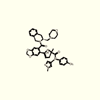 Cn1cc(N(C(=O)C2(C)CC=C(c3cc4c(cc3C(=O)N3Cc5ccccc5C[C@H]3CN3CCOCC3)OCO4)N2)c2ccc(O)cc2)cn1